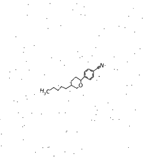 CCCCCC1CCC(c2ccc(C#N)cc2)OC1